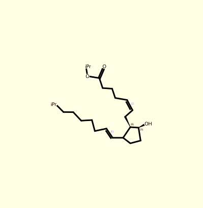 CC(C)CCCCC/C=C/C1CC[C@H](O)[C@@H]1C/C=C\CCCC(=O)OC(C)C